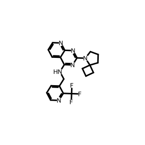 FC(F)(F)c1ncccc1CNc1nc(N2CCCC23CCC3)nc2ncccc12